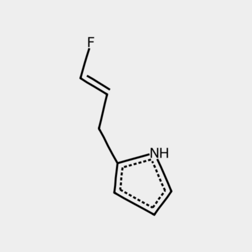 FC=CCc1ccc[nH]1